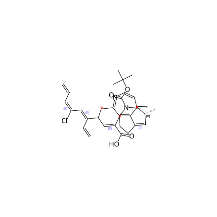 C=C/C=C(Cl)\C=C(/C=C)C(C)/C=C(/C(=O)O)C1=C(/C2=C\[C@@H](C)CN(C(=O)OC(C)(C)C)CCC2)C(=C)C=CN=C1C